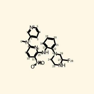 CN(c1cccnc1)c1ccc([N+](=O)[O-])c(Nc2ccccc2N2CCNC(F)C2)n1